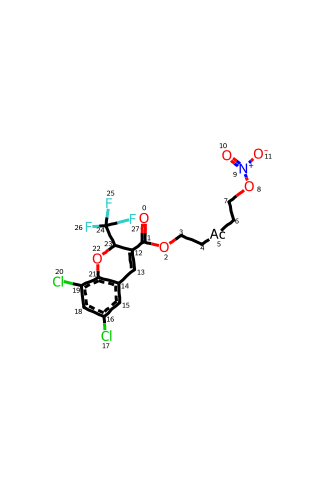 O=C(OC[CH2][Ac][CH2]CO[N+](=O)[O-])C1=Cc2cc(Cl)cc(Cl)c2OC1C(F)(F)F